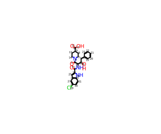 O=C(N[C@@H](C(=O)N1CCC(C(=O)O)CC1)[C@@H](O)Cc1ccccc1)c1cc2cc(Cl)ccc2[nH]1